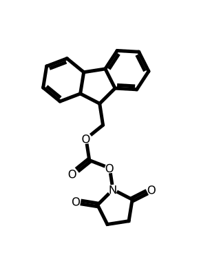 O=C(OCC1c2ccccc2C2C=CC=CC21)ON1C(=O)CCC1=O